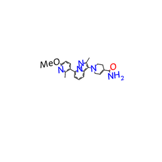 COc1ccc(-c2cccc3c(N4CC=C(C(N)=O)CC4)c(C)nn23)c(C)n1